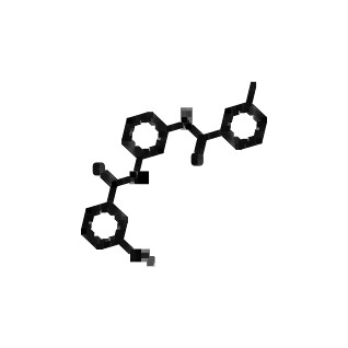 Cc1cccc(C(=O)Nc2cccc(NC(=O)c3cccc(N)c3)c2)c1